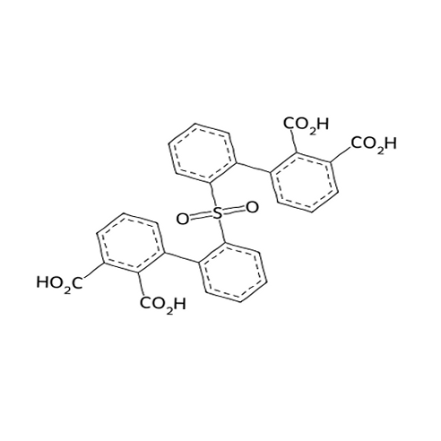 O=C(O)c1cccc(-c2ccccc2S(=O)(=O)c2ccccc2-c2cccc(C(=O)O)c2C(=O)O)c1C(=O)O